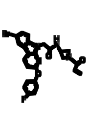 C=CC(=O)N1CC(NC(=O)Cn2c3ccc(Br)cc3c3ccc(Oc4ccc(F)cc4)nc32)C1